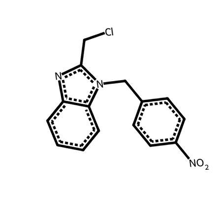 O=[N+]([O-])c1ccc(Cn2c(CCl)nc3ccccc32)cc1